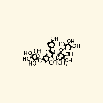 CC1O[C@@H](Oc2c(-c3ccc(O)cc3)oc3cc(O[C@@H]4OC(C)[C@H](O)[C@H](O)C4O)cc(O)c3c2=O)[C@@H](O[C@@H]2OC[C@@H](O)C(O)[C@H]2O)C(O)[C@H]1O